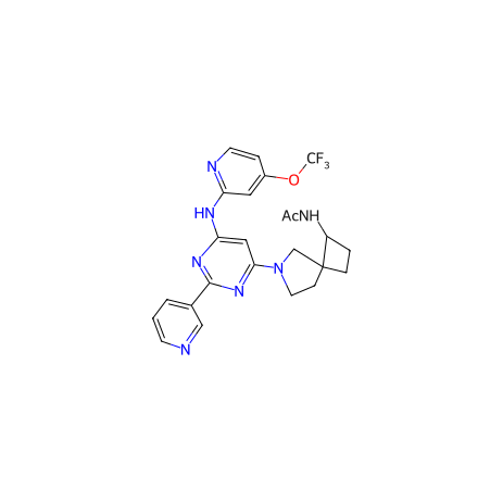 CC(=O)NC1CCC12CCN(c1cc(Nc3cc(OC(F)(F)F)ccn3)nc(-c3cccnc3)n1)C2